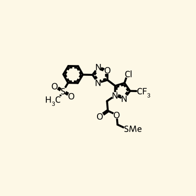 CSCOC(=O)Cn1nc(C(F)(F)F)c(Cl)c1-c1nc(-c2cccc(S(C)(=O)=O)c2)no1